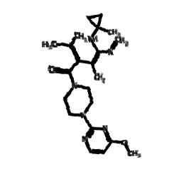 C=N/C(NC1(C)CC1)=C(\C)C(C(=O)N1CCN(c2nccc(OC)n2)CC1)=C(C)C